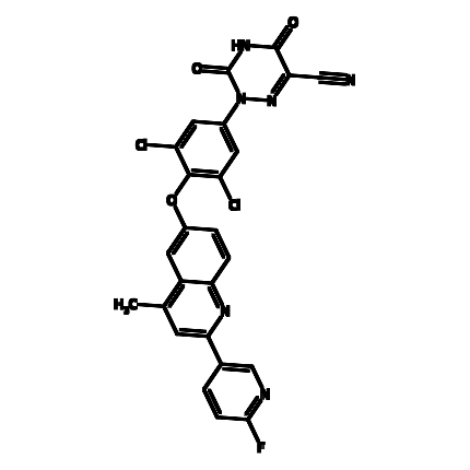 Cc1cc(-c2ccc(F)nc2)nc2ccc(Oc3c(Cl)cc(-n4nc(C#N)c(=O)[nH]c4=O)cc3Cl)cc12